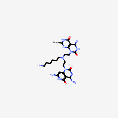 CNC1NC(=O)C2=C(N1)N(CCN(CCCCCCN)CCN1C(=O)NC(N)c3c1cc(N)[nH]c3=O)C(=O)NC2N